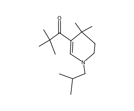 CC(C)CN1C=C(C(=O)C(C)(C)C)C(C)(C)CC1